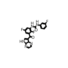 O=C(Nc1cccc(F)c1)Nc1cc(F)cc(C(=O)C2=CNC3N=CC=NC23)c1F